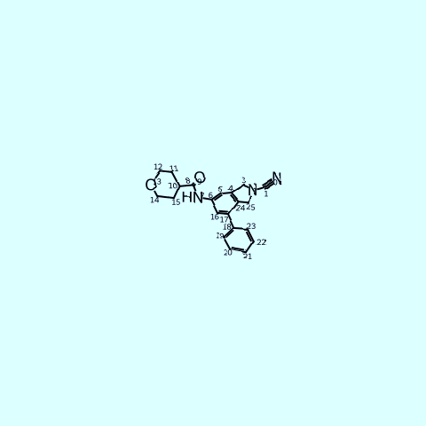 N#CN1Cc2cc(NC(=O)C3CCOCC3)cc(-c3ccccc3)c2C1